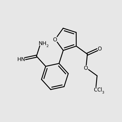 N=C(N)c1ccccc1-c1occc1C(=O)OCC(Cl)(Cl)Cl